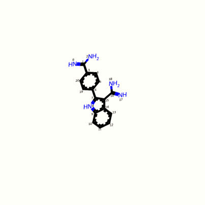 N=C(N)c1ccc(-c2[nH]c3ccccc3c2C(=N)N)cc1